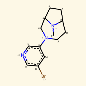 CN1C2CCC1CN(c1cncc(Br)c1)CC2